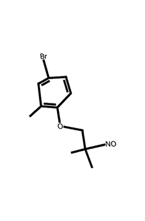 Cc1cc(Br)ccc1OCC(C)(C)N=O